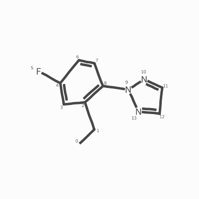 CCc1cc(F)ccc1-n1nccn1